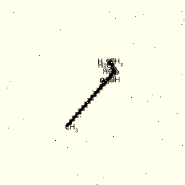 CCCCCCCCCCCCCCCCCCCCCCC=CCC(=O)OC[C@@H](O)COP(=O)(O)OCC[N+](C)(C)C